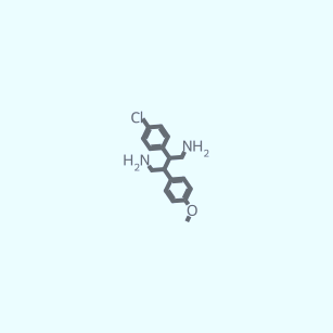 COc1ccc(C(CN)C(CN)c2ccc(Cl)cc2)cc1